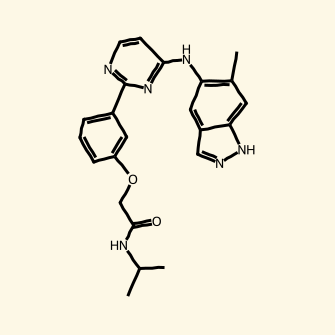 Cc1cc2[nH]ncc2cc1Nc1ccnc(-c2cccc(OCC(=O)NC(C)C)c2)n1